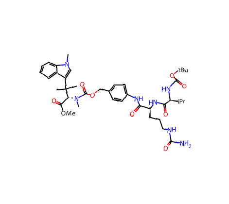 COC(=O)[C@@H](N(C)C(=O)OCc1ccc(NC(=O)[C@H](CCCNC(N)=O)NC(=O)[C@@H](NC(=O)OC(C)(C)C)C(C)C)cc1)C(C)(C)c1cn(C)c2ccccc12